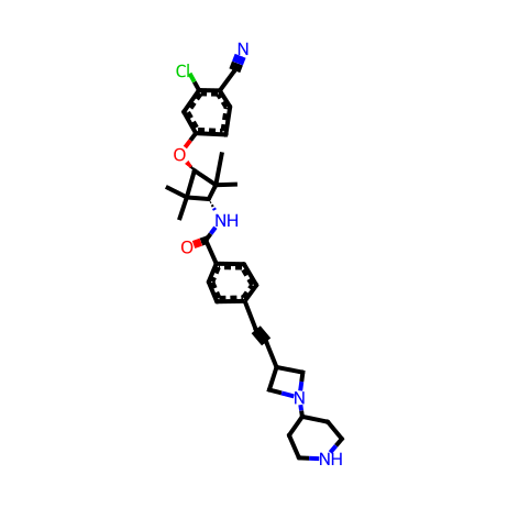 CC1(C)[C@H](NC(=O)c2ccc(C#CC3CN(C4CCNCC4)C3)cc2)C(C)(C)[C@H]1Oc1ccc(C#N)c(Cl)c1